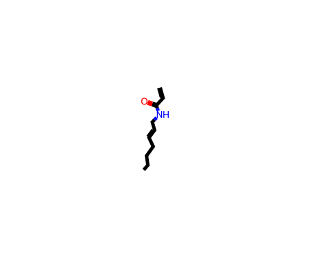 C=CC(=O)NCC=CCCCC